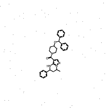 CC1CC(c2ccccc2)Nc2c(C(=O)N3CCC(OC(c4ccccc4)c4ccccc4)CC3)cnn21